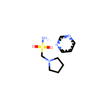 NS(=O)(=O)CN1CCCC1.c1cncnc1